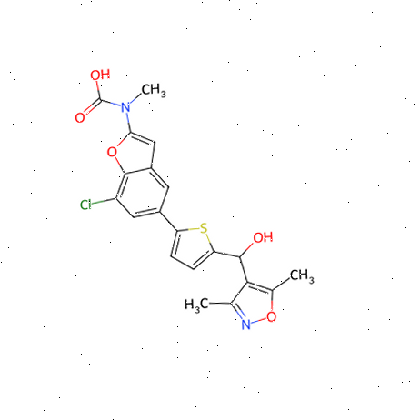 Cc1noc(C)c1C(O)c1ccc(-c2cc(Cl)c3oc(N(C)C(=O)O)cc3c2)s1